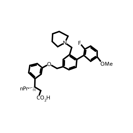 CCC[C@@H](CC(=O)O)c1cccc(OCc2ccc(-c3cc(OC)ccc3F)c(CN3CCCCC3)c2)c1